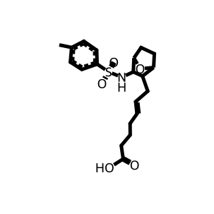 Cc1ccc(S(=O)(=O)NC2C3CCC(O3)C2C/C=C/CCCC(=O)O)cc1